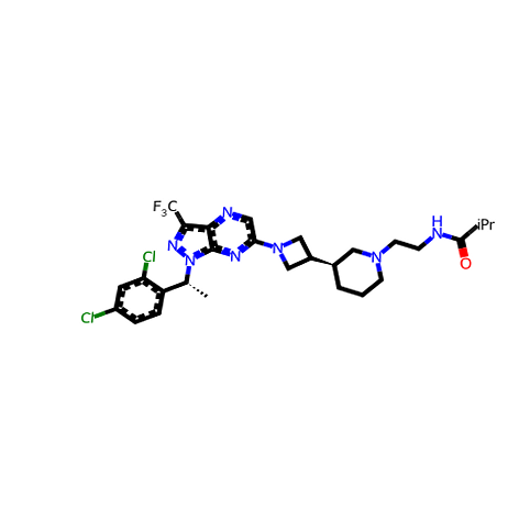 CC(C)C(=O)NCCN1CCC[C@@H](C2CN(c3cnc4c(C(F)(F)F)nn([C@H](C)c5ccc(Cl)cc5Cl)c4n3)C2)C1